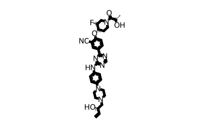 C=C[C@H](O)CN1CCN(c2ccc(Nc3ncnc(-c4ccc(O[C@H]5CCN(C(=O)[C@H](C)O)C[C@H]5F)c(C#N)c4)n3)cc2)CC1